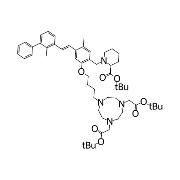 Cc1cc(CN2CCCC[C@H]2C(=O)OC(C)(C)C)c(OCCCCN2CCN(CC(=O)OC(C)(C)C)CCN(CC(=O)OC(C)(C)C)CC2)cc1/C=C/c1cccc(-c2ccccc2)c1C